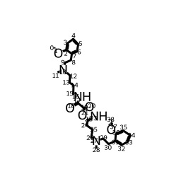 COc1ccccc1CCN(C)CCCCNC(=O)C(=O)OC(N)CCCN(C)CCc1ccccc1OC